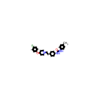 Cc1ccc(NC(=O)N[C@H]2CC[C@H](CCN3CCC(Oc4ccc(F)cc4)CC3)CC2)cc1